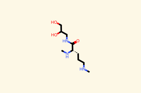 CNCCC[C@H](NC)C(=O)NCC(O)CO